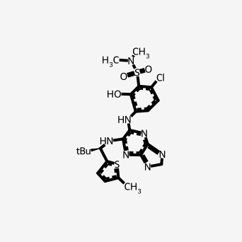 Cc1ccc([C@H](Nc2nc3c(nc2Nc2ccc(Cl)c(S(=O)(=O)N(C)C)c2O)=NCN=3)C(C)(C)C)s1